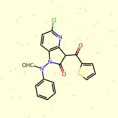 O=CN(c1ccccc1)N1C(=O)C(C(=O)c2cccs2)c2nc(Cl)ccc21